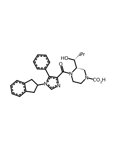 CC(C)[C@@H](O)[C@@H]1CN(C(=O)O)CCN1C(=O)c1ncn(C2Cc3ccccc3C2)c1-c1ccccc1